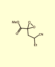 CCC(C#N)CC1(C(=O)OC)OO1